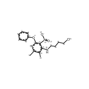 Cc1nc(Oc2ccccc2)c([N+](=O)[O-])c(NCCCCCl)c1C